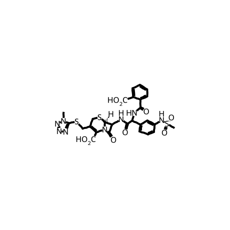 Cn1nnnc1SCC1=C(C(=O)O)N2C(=O)C(NC(=O)C(NC(=O)c3ccccc3C(=O)O)c3cccc(NS(C)(=O)=O)c3)[C@@H]2SC1